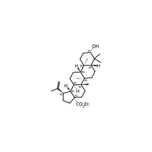 C=C(C)[C@@H]1CC[C@]2(C(=O)OCC)CC[C@]3(C)[C@H](CC[C@@H]4[C@@]5(C)CC[C@H](O)C(C)(C)[C@@H]5CC[C@]43C)[C@@H]12